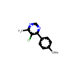 COc1ccc(-c2ncnc(C(F)(F)F)c2Cl)cc1